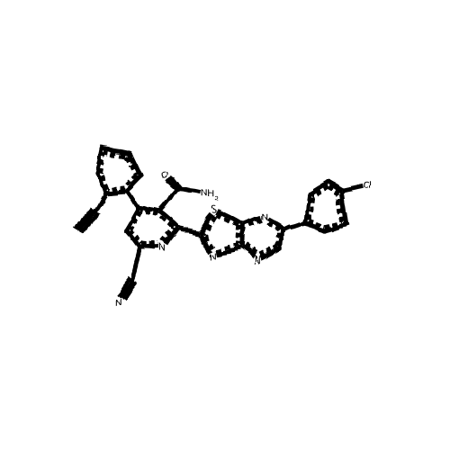 C#Cc1ccccc1-c1cc(C#N)nc(-c2nc3ncc(-c4ccc(Cl)cc4)nc3s2)c1C(N)=O